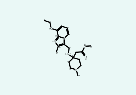 CCOc1cccn2c(CNC3(CC(=O)OC)CCN(C)CC3)c(C)nc12